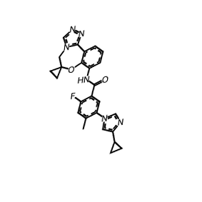 Cc1cc(F)c(C(=O)Nc2cccc3c2OC2(CC2)Cn2cnnc2-3)cc1-n1cnc(C2CC2)c1